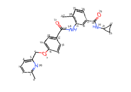 Cc1cccc(COc2ccc(C(=O)Nc3cc(C(=O)NC4CC4)ccc3C)cc2)n1